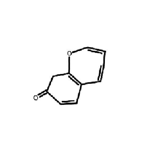 O=C1C=CC2=C(C1)OC=CC=C2